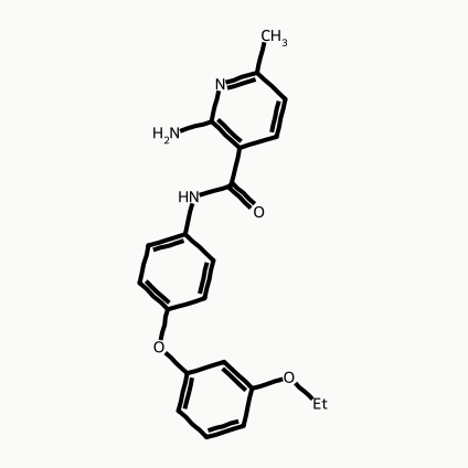 CCOc1cccc(Oc2ccc(NC(=O)c3ccc(C)nc3N)cc2)c1